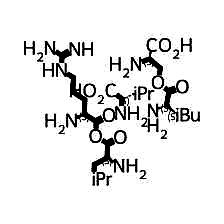 CC(C)C[C@H](N)C(=O)OC(=O)[C@@H](N)CCCNC(=N)N.CC(C)[C@H](N)C(=O)O.CC[C@H](C)[C@H](N)C(=O)OC[C@H](N)C(=O)O